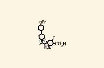 CCCCC(C(C)C1CCC(C2CCC(CCC)CC2)CC1)C1(CCC)CCC(C(=O)O)C(F)C1